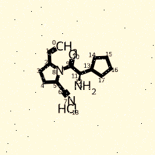 C=CC1CCC(C#N)N1C(=O)[C@H](N)C1CCCC1.Cl